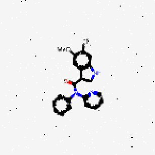 COc1cc2c(cc1C(F)(F)F)NCC2C(=O)N(c1ccccc1)c1ccccn1